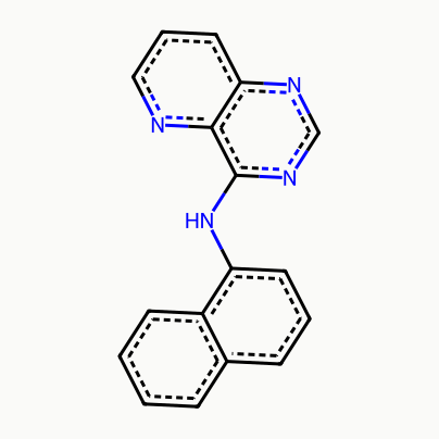 c1ccc2c(Nc3ncnc4cccnc34)cccc2c1